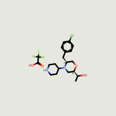 CC(O)[C@H]1CN(C2CCNCC2)[C@@H](Cc2ccc(Cl)cc2)CO1.O=C(O)C(F)(F)F